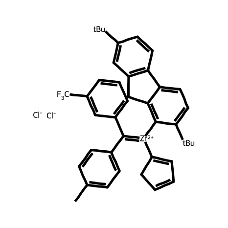 Cc1ccc(/[C](c2cccc(C(F)(F)F)c2)=[Zr+2](\[C]2=CC=CC2)[c]2c(C(C)(C)C)ccc3c2Cc2cc(C(C)(C)C)ccc2-3)cc1.[Cl-].[Cl-]